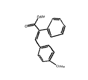 COC(=O)C(=Cc1ccc(OC)cc1)c1ccccc1